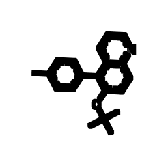 Cc1ccc(-c2c(OC(C)(C)C)ccc3ncccc23)cc1